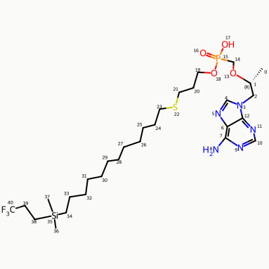 C[C@H](Cn1cnc2c(N)ncnc21)OCP(=O)(O)OCCCSCCCCCCCCCCCC[Si](C)(C)CCC(F)(F)F